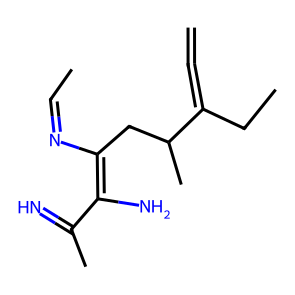 C=C=C(CC)C(C)CC(/N=C\C)=C(\N)C(C)=N